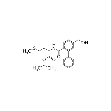 CSCCC(NC(=O)c1ccc(CO)cc1-c1ccccc1)C(=O)OC(C)C